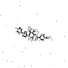 Cc1cc(-c2ccn(-c3ccccc3)n2)c(N)c(C)c1OC(=O)c1ccc([N+](=O)[O-])cc1